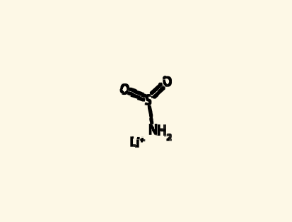 N[S-](=O)=O.[Li+]